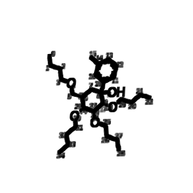 CCCCOC[C@H]1CC(O)(c2cccc(C)c2)[C@H](OCCCC)[C@@H](OCCCC)[C@@H]1OCCCC